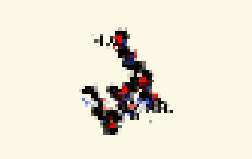 CC(C)(C)NC(=O)c1cccc(N(Cc2ccccc2)S(=O)(=O)c2ccccc2)c1.CNC(=O)c1cccc(N(Cc2ccccc2)S(=O)(=O)c2ccccc2)c1.CS(=O)(=O)N(Cc1ccccc1)c1cccc(C(=O)N2CCCC(c3ccccc3)C2)c1.O=C(NCCCc1ccccc1)c1cccc(N(Cc2ccccc2)S(=O)(=O)c2ccccc2)c1